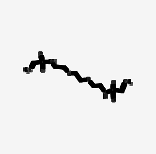 C=CS(=O)(=O)NCCOCCOCCNS(=O)(=O)C=C